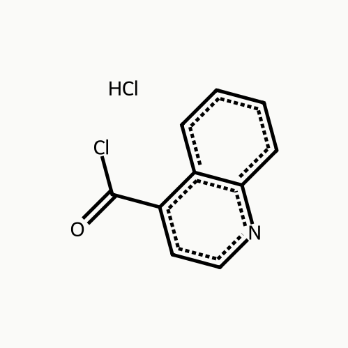 Cl.O=C(Cl)c1ccnc2ccccc12